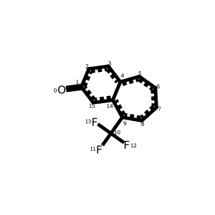 O=c1ccc2ccccc(C(F)(F)F)c-2c1